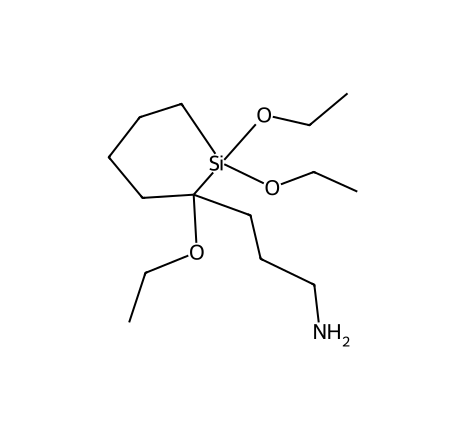 CCOC1(CCCN)CCCC[Si]1(OCC)OCC